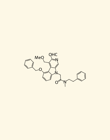 COCc1c(C=O)ncc2c1c1c(OCc3ccccc3)cccc1n2CC(=O)N(C)CCc1ccccc1